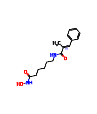 C/C(=C\c1ccccc1)C(=O)NCCCCCC(=O)NO